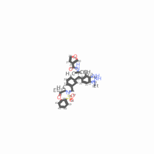 CC[C@@H]1CN(Cc2cc([C@@H](c3ccc4c(c3C)NNN4CC)C(C)(C)NC(=O)c3ccoc3)ccc2C)S(=O)(=O)c2ccccc2O1